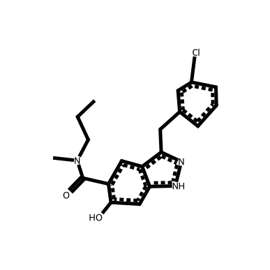 CCCN(C)C(=O)c1cc2c(Cc3cccc(Cl)c3)n[nH]c2cc1O